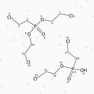 O=P(CCCl)(OCCCl)OCCCl.O=P(O)(CCCl)OCCCl